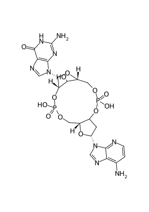 Nc1nc2c(ncn2[C@@H]2O[C@@H]3COP(=O)(O)OC4C[C@H](n5cnc6c(N)ccnc65)O[C@@H]4COP(=O)(O)O[C@H]2C3O)c(=O)[nH]1